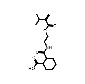 C=C(C(=O)OCCNC(=O)C1CCCCC1C(=O)O)C(C)C